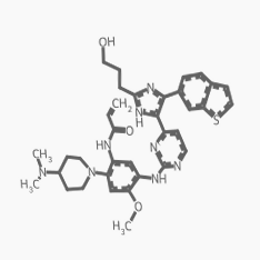 C=CC(=O)Nc1cc(Nc2nccc(-c3[nH]c(CCCO)nc3-c3ccc4ccsc4c3)n2)c(OC)cc1N1CCC(N(C)C)CC1